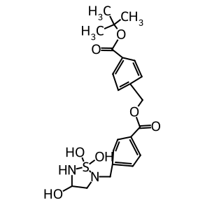 CC(C)(C)OC(=O)c1ccc(COC(=O)c2ccc(CN3CC(O)NS3(O)O)cc2)cc1